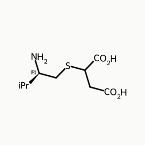 CC(C)[C@@H](N)CSC(CC(=O)O)C(=O)O